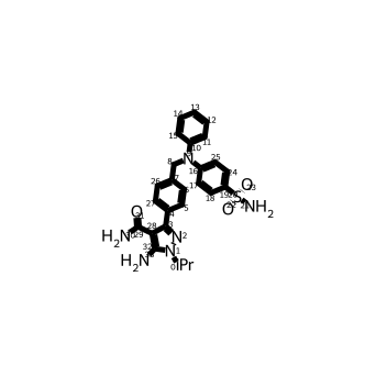 CC(C)n1nc(-c2ccc(CN(c3ccccc3)c3ccc(S(N)(=O)=O)cc3)cc2)c(C(N)=O)c1N